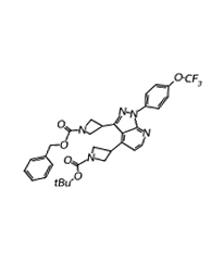 CC(C)(C)OC(=O)N1CC(c2ccnc3c2c(C2CN(C(=O)OCc4ccccc4)C2)nn3-c2ccc(OC(F)(F)F)cc2)C1